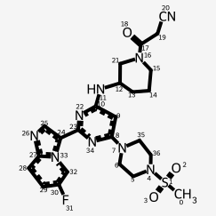 CS(=O)(=O)N1CCN(c2cc(NC3CCCN(C(=O)CC#N)C3)nc(-c3cnc4ccc(F)cn34)n2)CC1